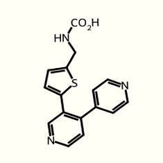 O=C(O)NCc1ccc(-c2cnccc2-c2ccncc2)s1